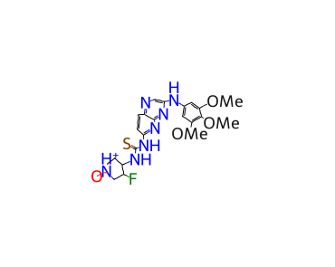 COc1cc(Nc2cnc3ccc(NC(=S)NC4CC[NH+]([O-])CC4F)nc3n2)cc(OC)c1OC